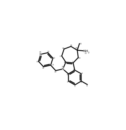 Cc1ccc2c(c1)c1c(n2Cc2ccncc2)CCCC(C)(N)C1